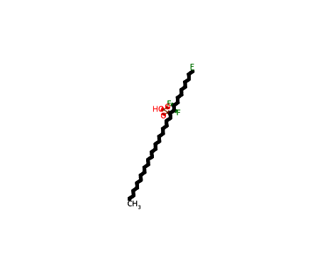 CCCCCCCCCCCCCCCCCCCCCCCC(C(F)C(F)CCCCCCCCCF)S(=O)(=O)O